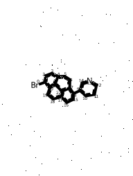 Brc1ccc2ccc3c(-c4cccnc4)ccc4ccc1c2c43